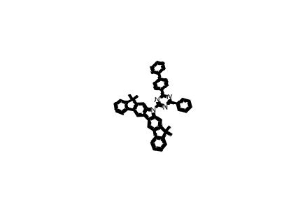 CC1(C)c2ccccc2-c2cc3c4cc5c(cc4n(-c4nc(-c6ccccc6)nc(-c6ccc(-c7ccccc7)cc6)n4)c3cc21)C(C)(C)c1ccccc1-5